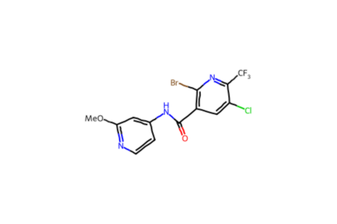 COc1cc(NC(=O)c2cc(Cl)c(C(F)(F)F)nc2Br)ccn1